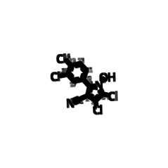 N#Cc1c(Cl)c(Cl)n(O)c1-c1ccc(Cl)c(Cl)c1